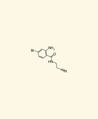 N#CCCNC(=O)c1ccc(Br)cc1N